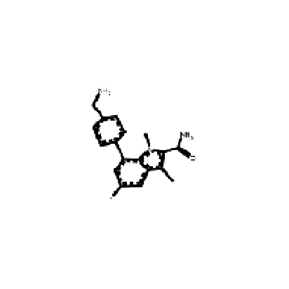 Cc1c(C(N)=O)n(C)c2c(-c3ccc(CN)cc3)cc(F)cc12